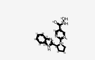 O=C(NO)c1cnc(N2CCCC2c2nc3ccccc3[nH]2)nc1